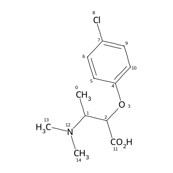 CC(C(Oc1ccc(Cl)cc1)C(=O)O)N(C)C